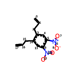 C=CCc1cc([N+](=O)[O-])c([N+](=O)[O-])cc1CC=C